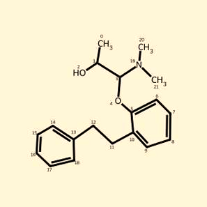 CC(O)C(Oc1ccccc1CCc1ccccc1)N(C)C